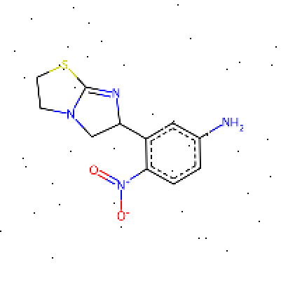 Nc1ccc([N+](=O)[O-])c(C2CN3CCSC3=N2)c1